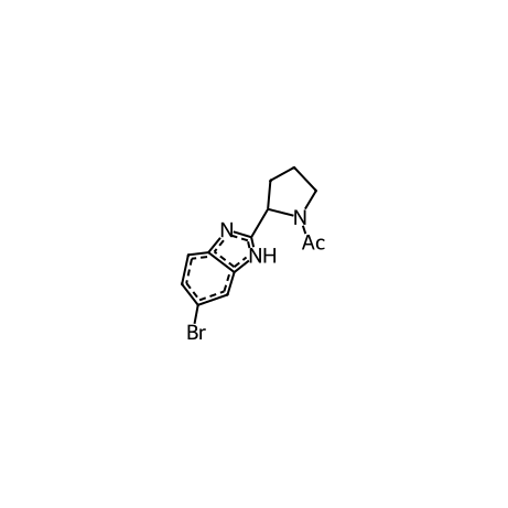 CC(=O)N1CCCC1c1nc2ccc(Br)cc2[nH]1